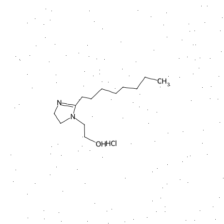 CCCCCCCCC1=NCCN1CCO.Cl